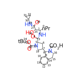 CCCC(NC(=O)C1CC(C2c3ccccc3CCN2C(=O)O)CN1C(=O)OC(C)(C)C)C(O)C(=O)NC1CC1